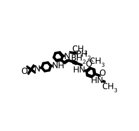 BC(C)(P)Cn1c(C#CCNc2ccc(C(=O)NCC)cc2OC)cc2c1=CCCC=2NC1CCC(N2CC3(COC3)C2)CC1